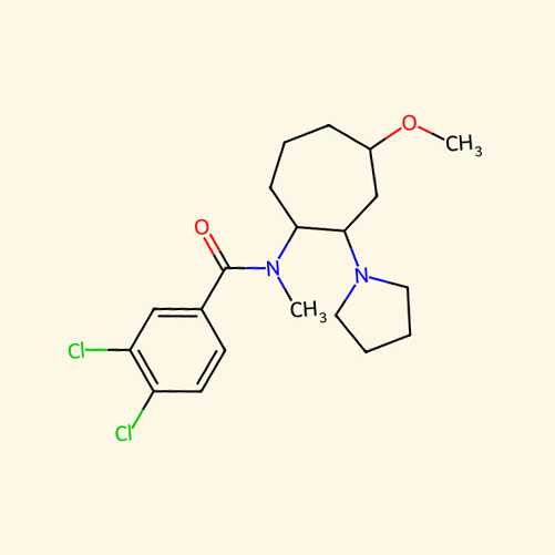 COC1CCCC(N(C)C(=O)c2ccc(Cl)c(Cl)c2)C(N2CCCC2)C1